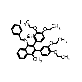 CCOc1ccc(-c2c(-c3ccc(OCC)c(OCC)c3)c(N(C)Cc3ccccc3)c3ccccc3c2C)cc1OCC